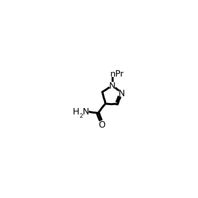 CCCN1CC(C(N)=O)C=N1